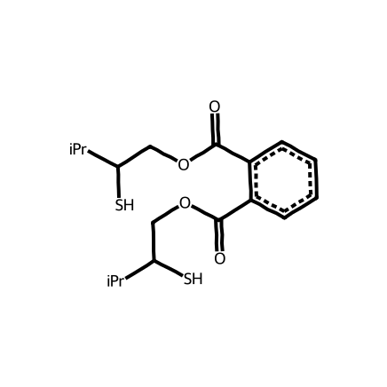 CC(C)C(S)COC(=O)c1ccccc1C(=O)OCC(S)C(C)C